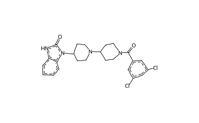 O=C(c1cc(Cl)cc(Cl)c1)N1CCC(N2CCC(n3c(=O)[nH]c4ccccc43)CC2)CC1